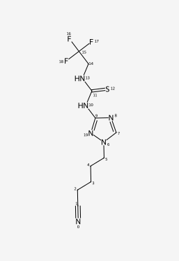 N#CCCCCn1cnc(NC(=S)NCC(F)(F)F)n1